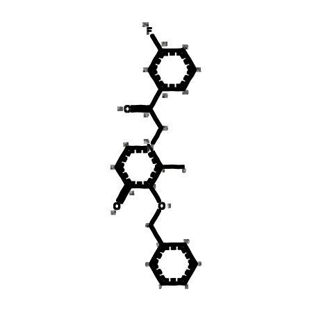 Cc1c(OCc2ccccc2)c(=O)ccn1CC(=O)c1cccc(F)c1